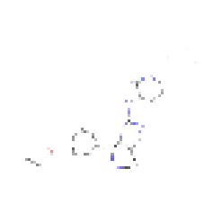 C=CC(=O)Nc1cccc(-c2nccc3cnc(Nc4ccc(N5CCOCC5)nc4OC)nc23)c1